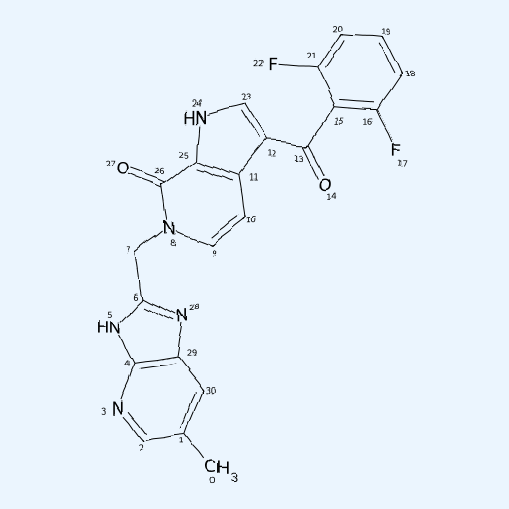 Cc1cnc2[nH]c(Cn3ccc4c(C(=O)c5c(F)cccc5F)c[nH]c4c3=O)nc2c1